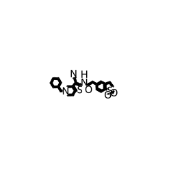 N#Cc1c(NC(=O)Cc2ccc3c(c2)CCS3(=O)=O)sc2c1CN(CC1CCCCC1)CC2